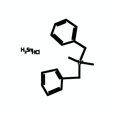 C[N+](C)(Cc1ccccc1)Cc1ccccc1.Cl.[SnH2]